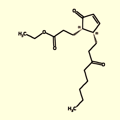 CCCCCC(=O)CC[C@H]1C=CC(=O)[C@H]1CCC(=O)OCC